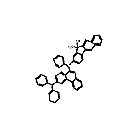 CC1(C)c2cc(N(c3ccccc3)c3cc4ccccc4c4cc(N(C5=CCCC=C5)c5ccccc5)ccc34)ccc2-c2cc3ccccc3cc21